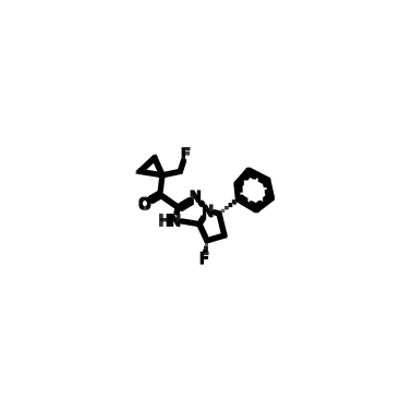 O=C(C1=NN2C(N1)[C@@H](F)C[C@H]2c1ccccc1)C1(CF)CC1